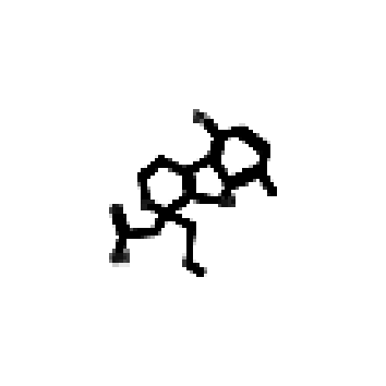 CCCC1(CC(=O)O)OCCc2c1[nH]c1c(C)ccc(Br)c21